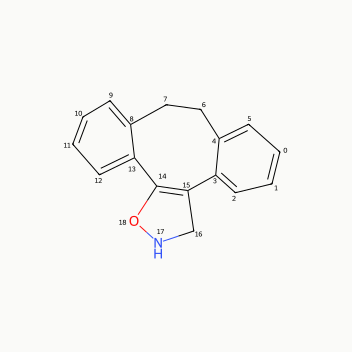 c1ccc2c(c1)CCc1ccccc1C1=C2CNO1